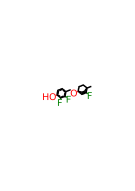 CC12CCC(OCc3ccc(O)c(F)c3F)(C=C1F)CC2